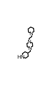 C1CCN(CCN2CCN(CC3CCNCC3)CC2)CC1